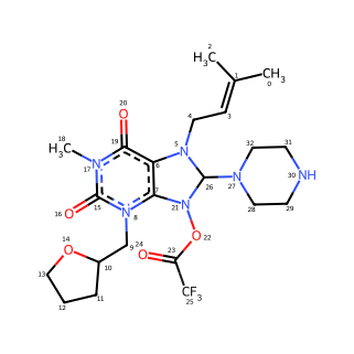 CC(C)=CCN1c2c(n(CC3CCCO3)c(=O)n(C)c2=O)N(OC(=O)C(F)(F)F)C1N1CCNCC1